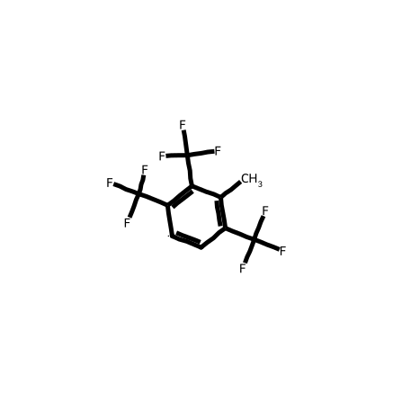 Cc1c(C(F)(F)F)c[c]c(C(F)(F)F)c1C(F)(F)F